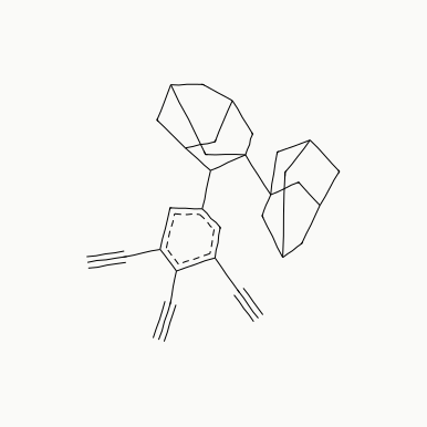 C#Cc1cc(C2C3CC4CC(C3)CC2(C23CC5CC(CC(C5)C2)C3)C4)cc(C#C)c1C#C